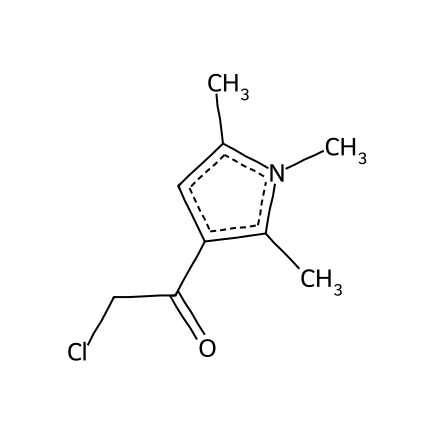 Cc1cc(C(=O)CCl)c(C)n1C